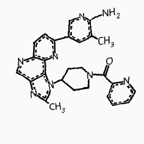 Cc1cc(-c2ccc3ncc4nc(C)n(C5CCN(C(=O)c6ccccn6)CC5)c4c3n2)cnc1N